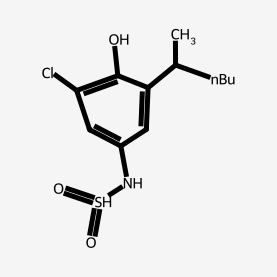 CCCCC(C)c1cc(N[SH](=O)=O)cc(Cl)c1O